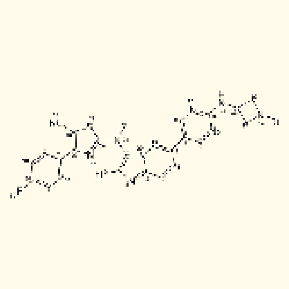 CCc1nc2ccc(-c3cnc(NC4CN(C)C4)nc3)cn2c1N(C)c1nc(-c2ccc(F)cc2)c(C#N)s1